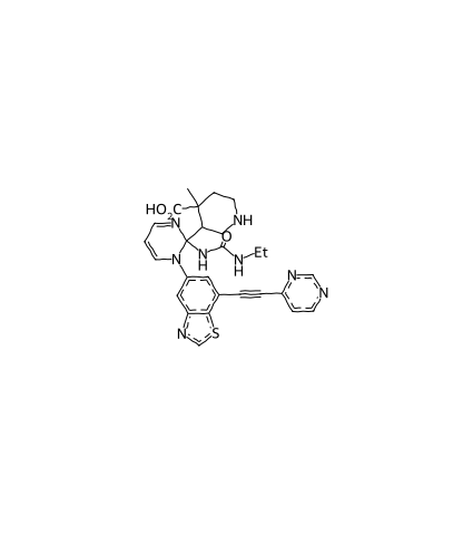 CCNC(=O)NC1(C2CNCCC2(C)C(=O)O)N=CC=CN1c1cc(C#Cc2ccncn2)c2scnc2c1